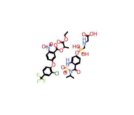 CC(C)N1C(=O)c2ccccc2NS1(=O)=O.CCOC(=O)C(C)OC(=O)c1cc(Oc2ccc(C(F)(F)F)cc2Cl)ccc1[N+](=O)[O-].O=C(O)CNCP(=O)(O)O